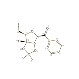 CC1(C)OC2[C@H](C(=O)c3ccccc3)O[C@H](CI)[C@H]2O1